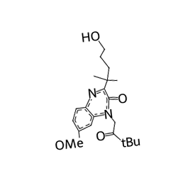 COc1ccc2nc(C(C)(C)CCCO)c(=O)n(CC(=O)C(C)(C)C)c2c1